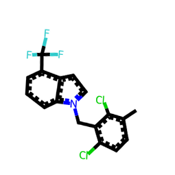 Cc1ccc(Cl)c(Cn2ccc3c(C(F)(F)F)cccc32)c1Cl